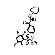 CCCN(Cc1ccc(C(=O)NOC2CCCCO2)cc1)S(=O)(=O)c1c(F)c(F)cc(F)c1F